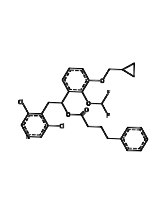 O=C(CCCc1ccccc1)OC(Cc1c(Cl)cncc1Cl)c1cccc(OCC2CC2)c1OC(F)F